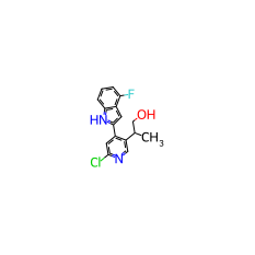 CC(CO)c1cnc(Cl)cc1-c1cc2c(F)cccc2[nH]1